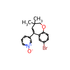 CC1(C)C=C(c2ccc[n+]([O-])c2)c2cc(Br)ccc2OC1